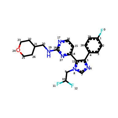 Fc1ccc(-c2ncn(CC(F)F)c2-c2ccnc(NCC3CCOCC3)n2)cc1